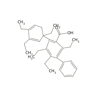 CCC1=CCC(CC)(c2c(CC)c(CC)c(-c3ccccc3)c(CC)c2C(=O)O)C=C1CC